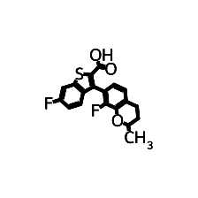 CC1CCc2ccc(-c3c(C(=O)O)sc4cc(F)ccc34)c(F)c2O1